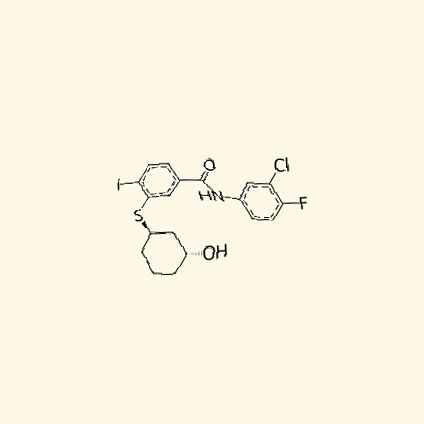 O=C(Nc1ccc(F)c(Cl)c1)c1ccc(I)c(S[C@@H]2CCC[C@@H](O)C2)c1